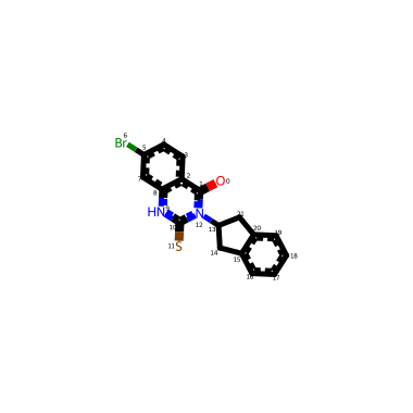 O=c1c2ccc(Br)cc2[nH]c(=S)n1C1Cc2ccccc2C1